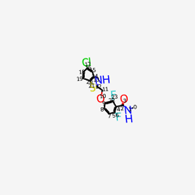 CNC(=O)c1c(F)ccc(OCC2Nc3cc(Cl)ccc3S2)c1F